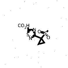 CS(=O)(=O)C1(c2nsc(C(=O)O)n2)CC1